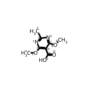 COc1nc(C)nc(OC)c1C(=O)O